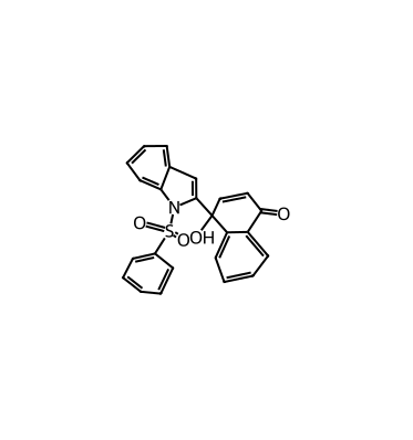 O=C1C=CC(O)(c2cc3ccccc3n2S(=O)(=O)c2ccccc2)c2ccccc21